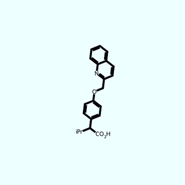 CC(C)C(C(=O)O)c1ccc(OCc2ccc3ccccc3n2)cc1